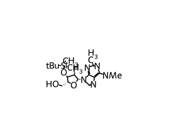 CNc1nc(C)nc2c1ncn2[C@@H]1O[C@H](CO)C(O[Si](C)(C)C(C)(C)C)[C@H]1F